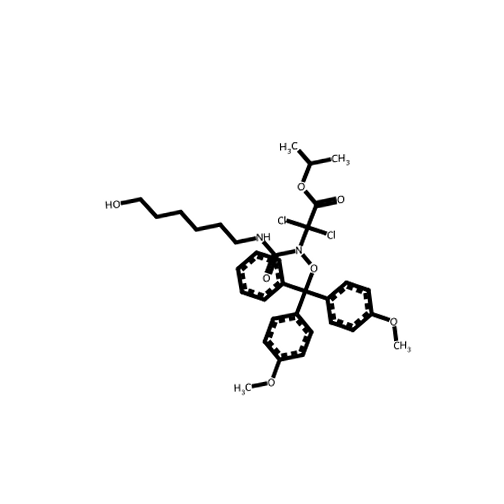 COc1ccc(C(ON(C(=O)NCCCCCCO)C(Cl)(Cl)C(=O)OC(C)C)(c2ccccc2)c2ccc(OC)cc2)cc1